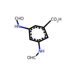 O=CNc1cc(NC=O)cc(C(=O)O)c1